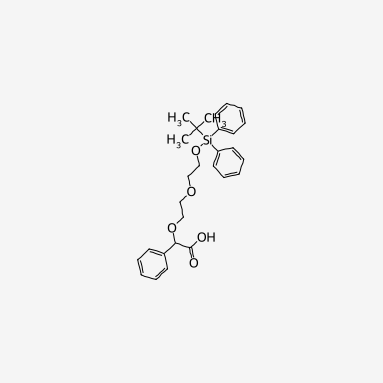 CC(C)(C)[Si](OCCOCCOC(C(=O)O)c1ccccc1)(c1ccccc1)c1ccccc1